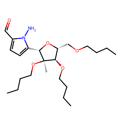 CCCCOC[C@H]1O[C@@H](c2ccc(C=O)n2N)[C@](C)(OCCCC)[C@@H]1OCCCC